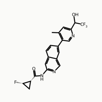 Cc1cc(C(O)C(F)(F)F)ncc1-c1ccc2cc(NC(=O)[C@@H]3C[C@@H]3F)ncc2c1